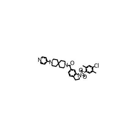 Cc1cc(S(=O)(=O)N2CCc3ccc(C(=O)N4CCC5(CC4)CCN(c4ccncc4)CC5)cc32)c(C)cc1Cl